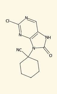 N#CC1(n2c(=O)[nH]c3cnc(Cl)nc32)CCCCC1